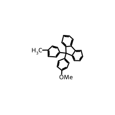 COc1ccc(C2(c3ccc(C)cc3)c3ccccc3-c3ccccc32)cc1